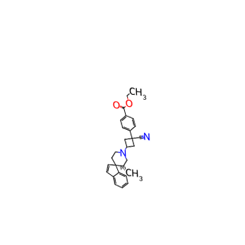 CCOC(=O)c1ccc(C2(C#N)CC(N3CCC4(C=Cc5ccccc54)[C@@H](C)C3)C2)cc1